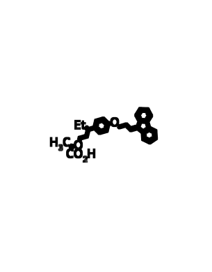 CCC(CCOC(C)C(=O)O)c1ccc(OCCC=C2c3ccccc3-c3ccccc32)cc1